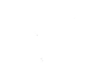 Cc1[nH]c2c(Br)ncc(F)c2c1C(=O)C(=O)O